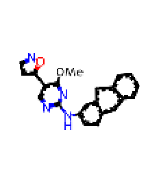 COc1nc(Nc2ccc3cc4ccccc4cc3c2)ncc1-c1ccno1